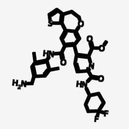 COC(=O)c1nc(C(=O)NC2CCC(F)(F)CC2)ccc1-c1cc2c(cc1C(=O)Nc1c(C)cc(CN)cc1C)-c1sccc1CCO2